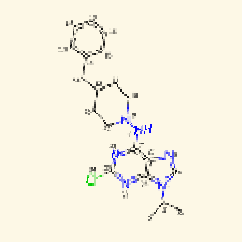 CC(C)n1cnc2c(NN3CCC(Cc4ccccc4)CC3)nc(Cl)nc21